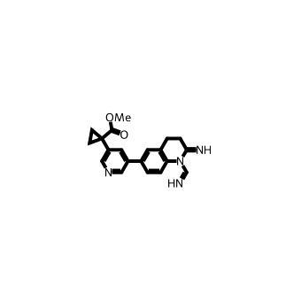 COC(=O)C1(c2cncc(-c3ccc4c(c3)CCC(=N)N4C=N)c2)CC1